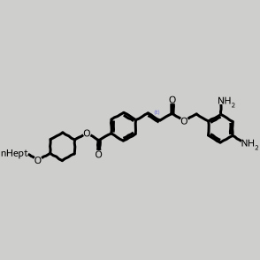 CCCCCCCOC1CCC(OC(=O)c2ccc(/C=C/C(=O)OCc3ccc(N)cc3N)cc2)CC1